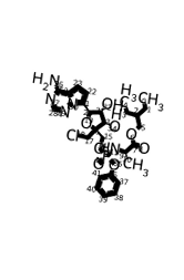 CCC(CC)COC(=O)[C@H](C)NP(=O)(OC[C@@]1(CCl)O[C@@H](c2ccc3c(N)ncnn23)[C@H](O)[C@@H]1O)Oc1ccccc1